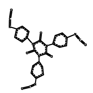 O=C=Nc1ccc(-n2c(=O)n(-c3ccc(N=C=O)cc3)c(=O)n(-c3ccc(N=C=O)cc3)c2=O)cc1